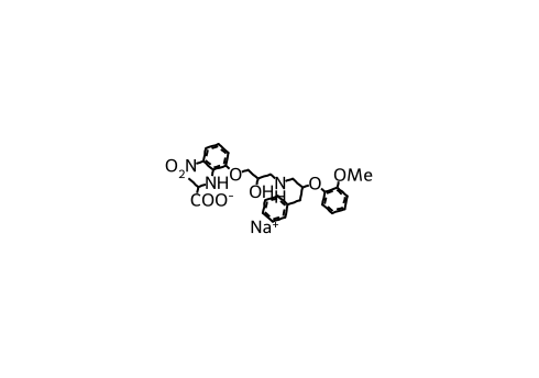 COc1ccccc1OC(CNCC(O)COc1cccc([N+](=O)[O-])c1NC(C)C(=O)[O-])Cc1ccccc1.[Na+]